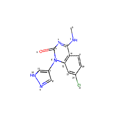 CNc1nc(=O)n(-c2cn[nH]c2)c2cc(Cl)ccc12